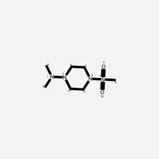 CN(C)N1CCN(S(C)(=O)=O)CC1